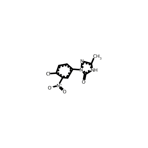 Cc1nn(-c2ccc(Cl)c([N+](=O)[O-])c2)c(=O)[nH]1